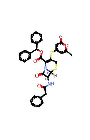 Cc1cc(SC2=C(C(=O)OC(c3ccccc3)c3ccccc3)N3C(=O)[C@@H](NC(=O)Cc4ccccc4)[C@H]3SC2)cc(=O)o1